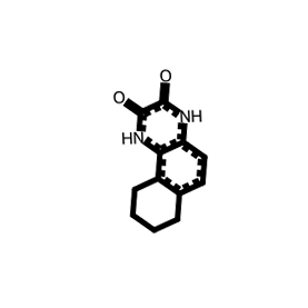 O=c1[nH]c2ccc3c(c2[nH]c1=O)CCCC3